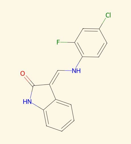 O=C1Nc2ccccc2/C1=C\Nc1ccc(Cl)cc1F